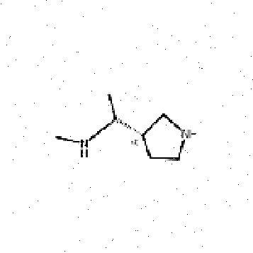 CNC(C)[C@H]1CCNC1